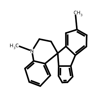 Cc1ccc2c(c1)C1(CCN(C)c3ccccc31)c1ccccc1-2